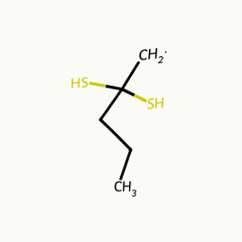 [CH2]C(S)(S)CCC